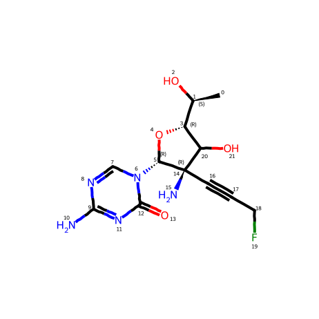 C[C@H](O)[C@H]1O[C@@H](n2cnc(N)nc2=O)[C@@](N)(C#CCF)C1O